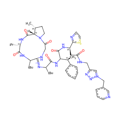 CC(C)[C@@H]1NC(=O)[C@@H]2[C@H](C)CCN2C(=O)CN/C(=N\C(C(=O)NC(C(=O)N[C@H](CC(=O)NCc2cn(Cc3cccnc3)nn2)c2nccs2)[C@@H](C)c2ccccc2)C(C)(C)C)C(C(C)(C)C)NC1=O